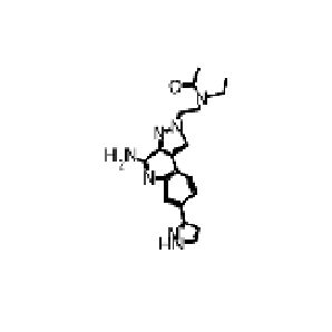 CCN(CCn1cc2c(n1)c(N)nc1cc(-c3cc[nH]n3)ccc12)C(C)=O